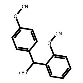 CCCCC(c1ccc(OC#N)cc1)c1ccccc1OC#N